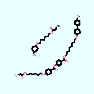 C=CC(=O)OCCCCCCOc1ccc(C(=O)O)cc1.C=CC(=O)OCCCCCCOc1ccc(C(=O)Oc2ccc(C(=O)OCCCCCCCCOc3ccc(-c4ccc(C#N)cc4)cc3)cc2)cc1